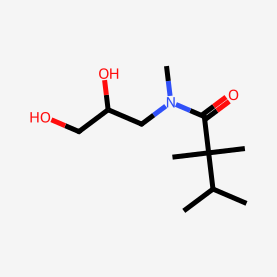 CC(C)C(C)(C)C(=O)N(C)CC(O)CO